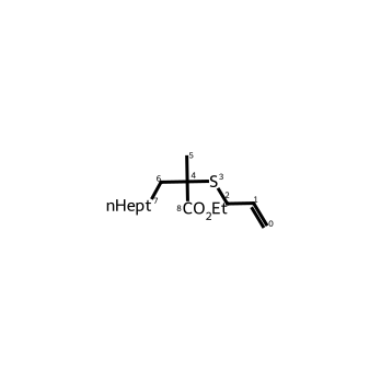 C=CCSC(C)(CCCCCCCC)C(=O)OCC